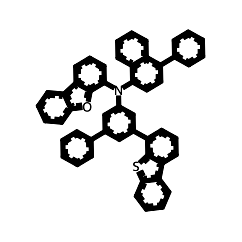 c1ccc(-c2cc(-c3cccc4c3sc3ccccc34)cc(N(c3ccc(-c4ccccc4)c4ccccc34)c3cccc4c3oc3ccccc34)c2)cc1